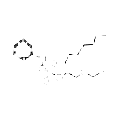 CCCCCCCOP(=O)(OCCOCC)OOc1ccccc1